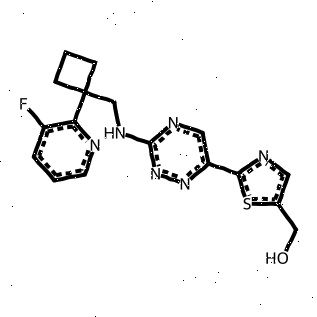 OCc1cnc(-c2cnc(NCC3(c4ncccc4F)CCC3)nn2)s1